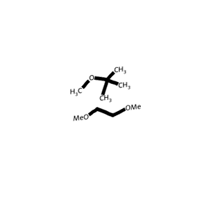 COC(C)(C)C.COCCOC